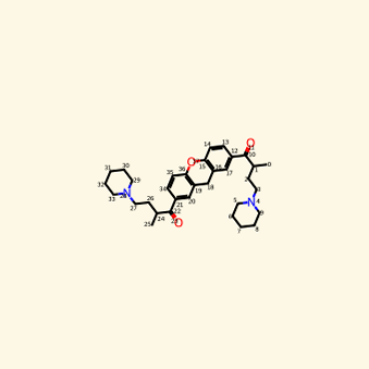 CC(CCN1CCCCC1)C(=O)c1ccc2c(c1)Cc1cc(C(=O)C(C)CCN3CCCCC3)ccc1O2